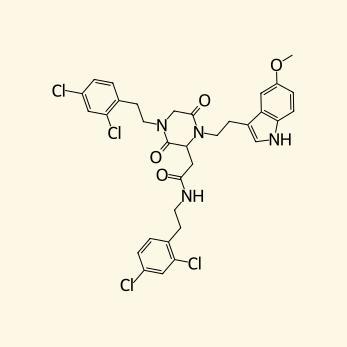 COc1ccc2[nH]cc(CCN3C(=O)CN(CCc4ccc(Cl)cc4Cl)C(=O)C3CC(=O)NCCc3ccc(Cl)cc3Cl)c2c1